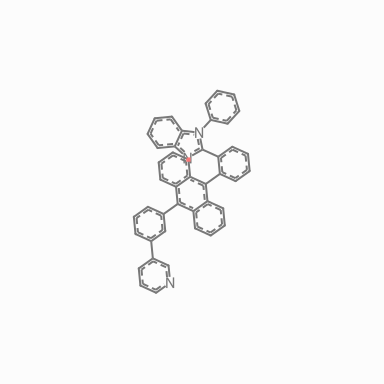 c1ccc(-n2c(-c3ccccc3-c3c4ccccc4c(-c4cccc(-c5cccnc5)c4)c4ccccc34)nc3ccccc32)cc1